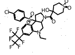 CCN1CC2N(C(=O)C3(O)CCS(=O)(=O)CC3)CCC2(S(=O)(=O)c2ccc(Cl)cc2)c2ccc(C(F)(C(F)(F)F)C(F)(F)F)cc21